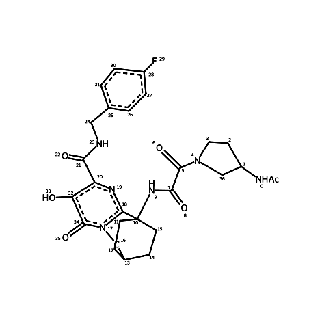 CC(=O)NC1CCN(C(=O)C(=O)NC23CCC(CC2)Cn2c3nc(C(=O)NCc3ccc(F)cc3)c(O)c2=O)C1